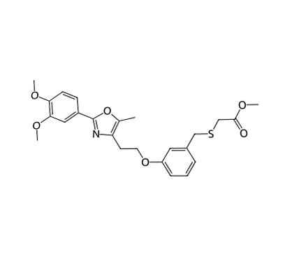 COC(=O)CSCc1cccc(OCCc2nc(-c3ccc(OC)c(OC)c3)oc2C)c1